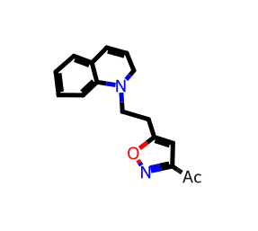 CC(=O)c1cc(CCN2CC=Cc3ccccc32)on1